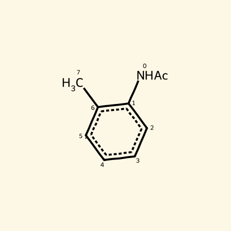 CC(=O)Nc1ccc[c]c1C